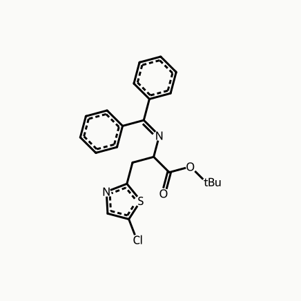 CC(C)(C)OC(=O)C(Cc1ncc(Cl)s1)N=C(c1ccccc1)c1ccccc1